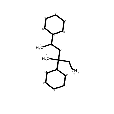 CCC(C)(CC(C)C1CCCCC1)C1CCCCC1